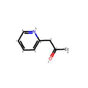 CCC(=O)[CH]c1ccccn1